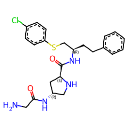 NCC(=O)N[C@H]1CN[C@H](C(=O)N[C@H](CCc2ccccc2)CSc2ccc(Cl)cc2)C1